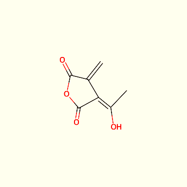 C=C1C(=O)OC(=O)/C1=C(/C)O